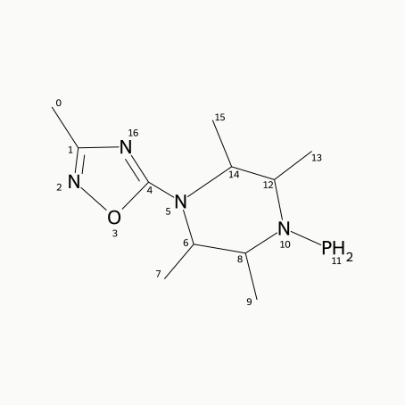 Cc1noc(N2C(C)C(C)N(P)C(C)C2C)n1